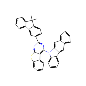 CC1(C)c2ccccc2-c2cc(-c3nc(-n4c5ccccc5c5cc6ccccc6cc54)c4c(n3)sc3ccccc34)ccc21